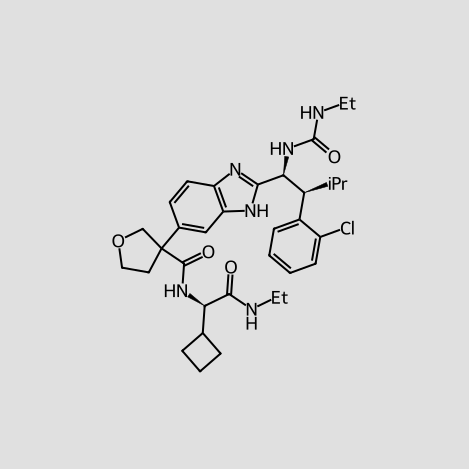 CCNC(=O)N[C@H](c1nc2ccc(C3(C(=O)N[C@@H](C(=O)NCC)C4CCC4)CCOC3)cc2[nH]1)[C@H](c1ccccc1Cl)C(C)C